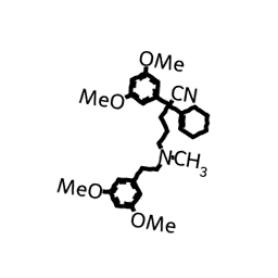 COc1cc(CCN(C)CCCC(C#N)(C2=CCCCC2)c2cc(OC)cc(OC)c2)cc(OC)c1